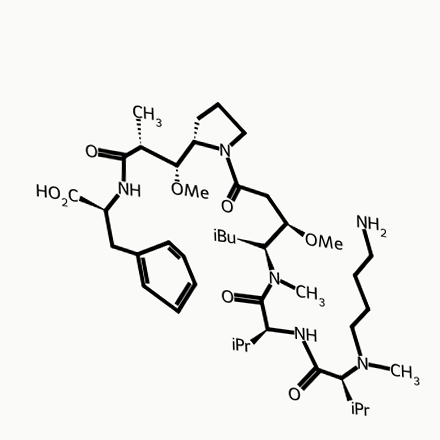 CC[C@H](C)[C@@H]([C@@H](CC(=O)N1CCC[C@H]1[C@H](OC)[C@@H](C)C(=O)N[C@@H](Cc1ccccc1)C(=O)O)OC)N(C)C(=O)[C@@H](NC(=O)[C@H](C(C)C)N(C)CCCCN)C(C)C